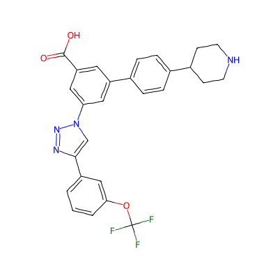 O=C(O)c1cc(-c2ccc(C3CCNCC3)cc2)cc(-n2cc(-c3cccc(OC(F)(F)F)c3)nn2)c1